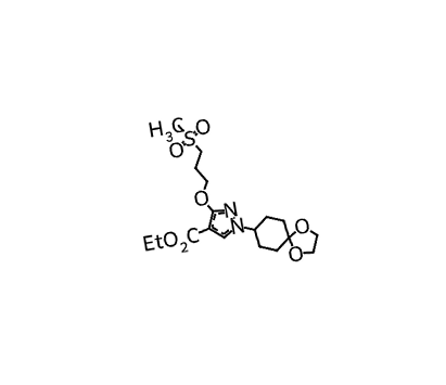 CCOC(=O)c1cn(C2CCC3(CC2)OCCO3)nc1OCCCS(C)(=O)=O